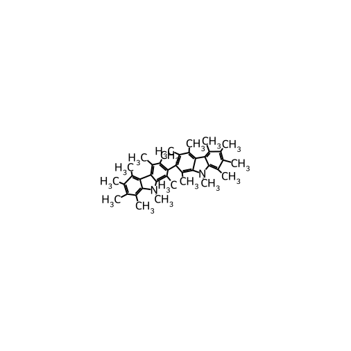 Cc1c(C)c(C)c2c(c1C)c1c(C)c(C)c(-c3c(C)c(C)c4c5c(C)c(C)c(C)c(C)c5n(C)c4c3C)c(C)c1n2C